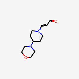 O=CC=CN1CCC(N2CCOCC2)CC1